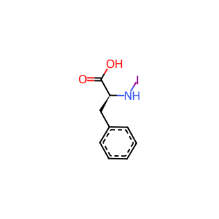 O=C(O)[C@H](Cc1ccccc1)NI